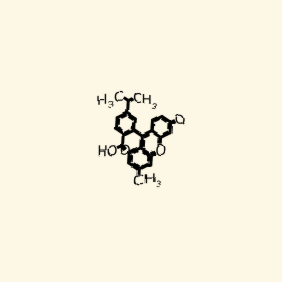 Cc1ccc2c(-c3cc(C(C)C)ccc3C(=O)O)c3ccc(=O)cc-3oc2c1